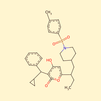 CCC(CC1CCN(S(=O)(=O)c2ccc(C)cc2)CC1)c1cc(O)c(C(c2ccccc2)C2CC2)c(=O)o1